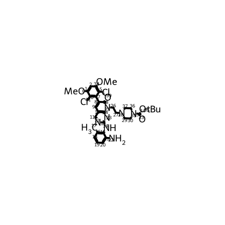 COc1cc(OC)c(Cl)c(-c2cc3cnc(Nc4c(C)cccc4N)nc3n(CCN3CCN(C(=O)OC(C)(C)C)CC3)c2=O)c1Cl